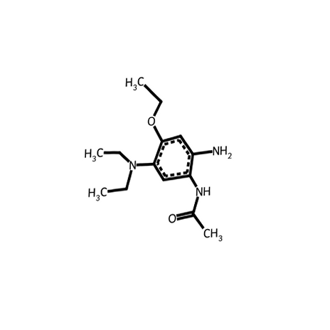 CCOc1cc(N)c(NC(C)=O)cc1N(CC)CC